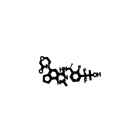 Cc1nc(N[C@H](C)c2cccc(C(F)(F)C(C)(C)O)c2F)c2cc(N3CCOCC3=O)c3c(c2n1)CCC3